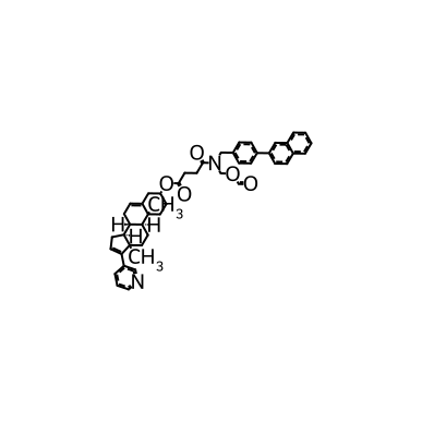 C[C@]12CC[C@H](OC(=O)CCC(=O)N(COC=O)Cc3ccc(-c4ccc5ccccc5c4)cc3)CC1=CC[C@@H]1[C@@H]2CC[C@]2(C)C(c3cccnc3)=CC[C@@H]12